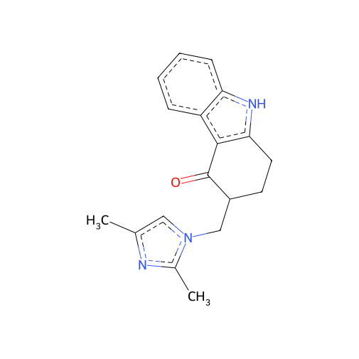 Cc1cn(CC2CCc3[nH]c4ccccc4c3C2=O)c(C)n1